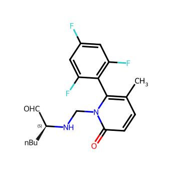 CCCC[C@@H](C=O)NCn1c(-c2c(F)cc(F)cc2F)c(C)ccc1=O